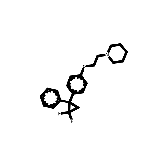 FC1(F)CC1(c1ccccc1)c1ccc(OCCN2CCCCC2)cc1